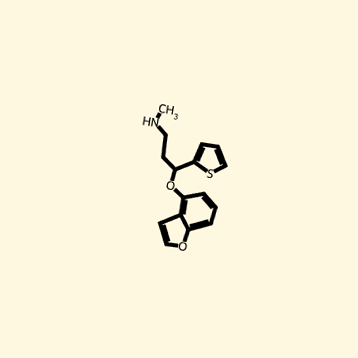 CNCCC(Oc1cccc2occc12)c1cccs1